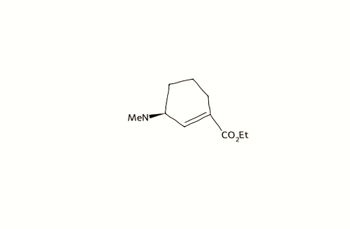 CCOC(=O)C1=C[C@@H](NC)CCC1